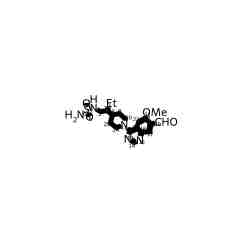 CCC(CNS(N)(=O)=O)C1CCN(c2ncnc3cc(C=O)c(OC)cc23)CC1